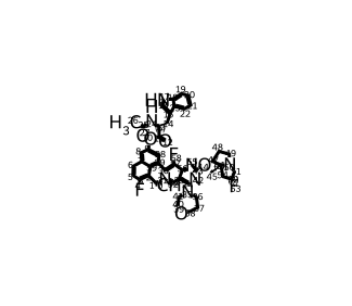 C#Cc1c(F)ccc2cc(OC(=O)[C@H](Cc3c[nH]c4ccccc34)NC(C)=O)cc(-c3ncc4c(N5CCCOCC5)nc(OC[C@@]56CCCN5C[C@H](F)C6)nc4c3F)c12